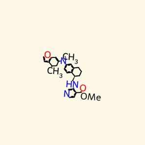 COC(=O)c1ccncc1NC[C@@H]1CCCc2cc(N(C)C3=Cc4occc4C(C)C3)ccc21